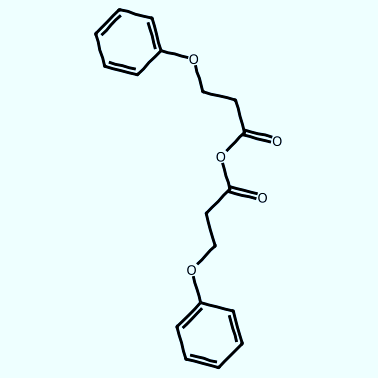 O=C(CCOc1ccccc1)OC(=O)CCOc1ccccc1